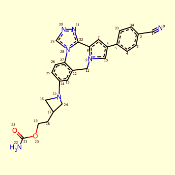 N#Cc1ccc(-c2cc3n(c2)Cc2cc(N4CC(CCOC(N)=O)C4)ccc2-n2cnnc2-3)cc1